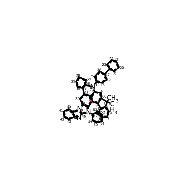 CC1(C)c2ccccc2-c2ccc(N(c3ccc(-c4ccccc4)cc3)c3ccccc3-c3ccc4c(c3)n3c5ccccc5nc3n4-c3ccccc3)cc21